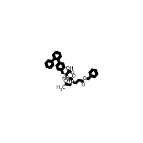 CC(C)CN(CCC(=O)OCc1ccccc1)C(=O)N[C@@H](Cc1ccc(-c2ccccc2-c2ccccc2)cc1)C(=O)O